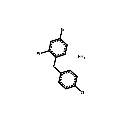 CCc1cc(Br)ccc1Sc1ccc(Cl)cc1.N